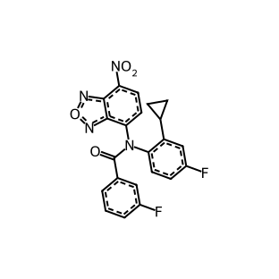 O=C(c1cccc(F)c1)N(c1ccc(F)cc1C1CC1)c1ccc([N+](=O)[O-])c2nonc12